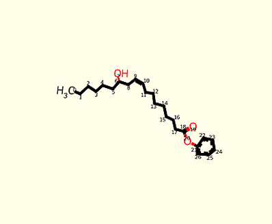 CCCCCC[C@@H](O)C/C=C\CCCCCCCC(=O)Oc1ccccc1